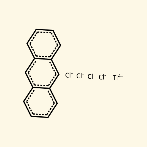 [Cl-].[Cl-].[Cl-].[Cl-].[Ti+4].c1ccc2cc3ccccc3cc2c1